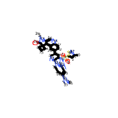 Cc1cc(S(=O)(=O)Nc2cc(-c3ccc4ncc5c(c4c3)C3(CCC3)C(=O)N5C)cnc2N2CCC(N(C)C)CC2)sn1